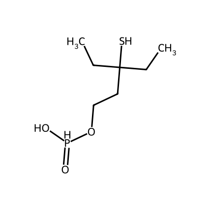 CCC(S)(CC)CCO[PH](=O)O